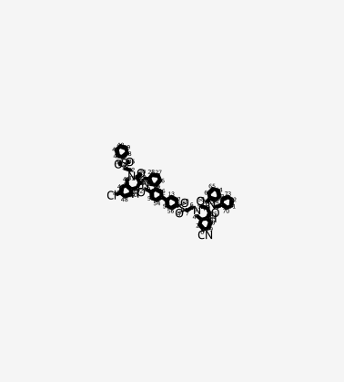 N#CC1=CC2CN(CCS(=O)(=O)c3ccc(-c4ccc(C5=N[C@]6(Cc7ccccc7)C(=O)N(CCS(=O)(=O)c7ccccc7)Cc7cc(Cl)ccc7[C@@H]6O5)cc4)cc3)C(=O)[C@@]3(Cc4ccccc4)N=C(c4ccccc4)O[C@H]3C2C=C1